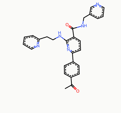 CC(=O)c1ccc(-c2ccc(C(=O)NCc3cccnc3)c(NCCc3ccccn3)n2)cc1